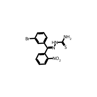 NC(=S)N/N=C(\c1cccc(Br)c1)c1ccccc1[N+](=O)[O-]